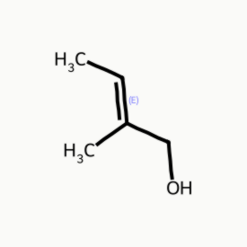 C/C=C(\C)CO